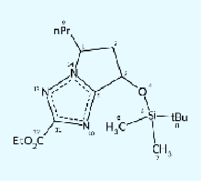 CCCC1CC(O[Si](C)(C)C(C)(C)C)c2nc(C(=O)OCC)nn21